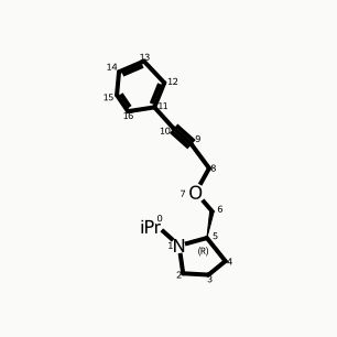 CC(C)N1CCC[C@@H]1COCC#Cc1ccccc1